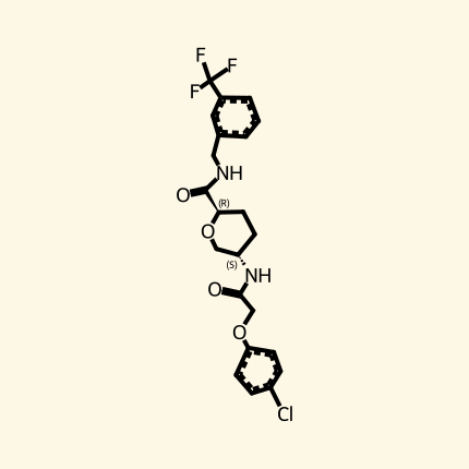 O=C(COc1ccc(Cl)cc1)N[C@H]1CC[C@H](C(=O)NCc2cccc(C(F)(F)F)c2)OC1